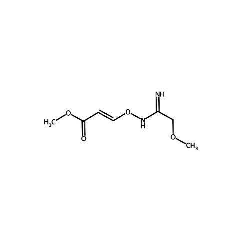 COCC(=N)NOC=CC(=O)OC